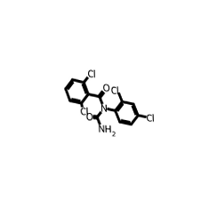 NC(=O)N(C(=O)c1c(Cl)cccc1Cl)c1ccc(Cl)cc1Cl